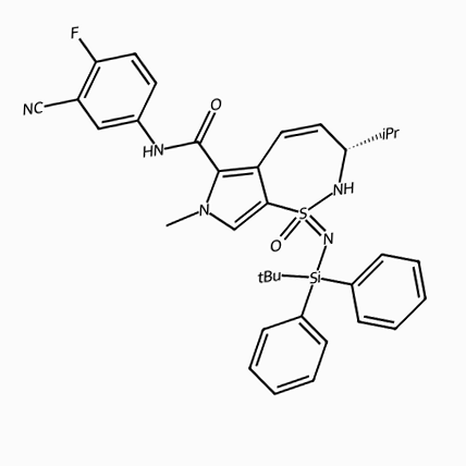 CC(C)[C@H]1C=Cc2c(cn(C)c2C(=O)Nc2ccc(F)c(C#N)c2)S(=O)(=N[Si](c2ccccc2)(c2ccccc2)C(C)(C)C)N1